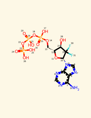 Nc1ncnc2c1ncn2[C@@H]1O[C@H](COP(=O)(O)OP(=O)(O)OP(=O)(O)O)[C@@H](O)C1(F)F